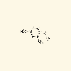 Cc1ccc(CC#N)c(C(F)(F)F)c1